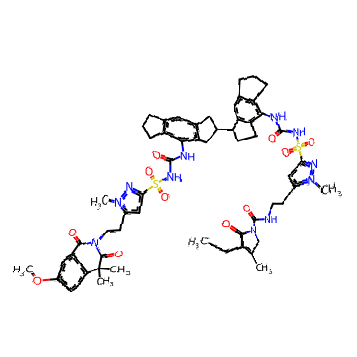 CCC1=C(C)CN(C(=O)NCCc2cc(S(=O)(=O)NC(=O)Nc3c4c(cc5c3CCC5C3Cc5cc6c(c(NC(=O)NS(=O)(=O)c7cc(CCN8C(=O)c9cc(OC)ccc9C(C)(C)C8=O)n(C)n7)c5C3)CCC6)CCC4)nn2C)C1=O